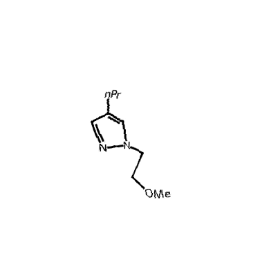 CCCc1cnn(CCOC)c1